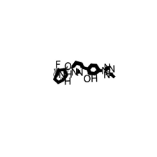 Cc1nnn(-c2ccc(-c3ccc(O[C@@H]4C[C@H]5CC[C@](C)(N5)[C@H]4F)nn3)c(O)c2)n1